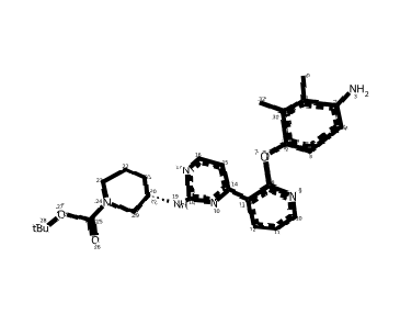 Cc1c(N)ccc(Oc2ncccc2-c2ccnc(N[C@H]3CCCN(C(=O)OC(C)(C)C)C3)n2)c1C